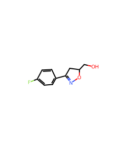 OCC1CC(c2ccc(F)cc2)=NO1